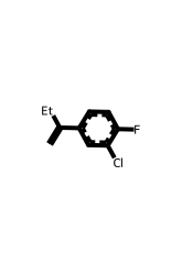 [CH2]CC(=C)c1ccc(F)c(Cl)c1